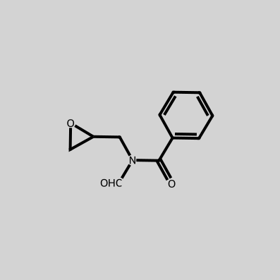 O=CN(CC1CO1)C(=O)c1ccccc1